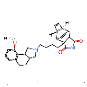 COc1cccc2c1C1CN(CCCCC34C(=O)NC(=O)C3C3C=CC4[C@@H]4C=C[C@@H]34)CC1CC2